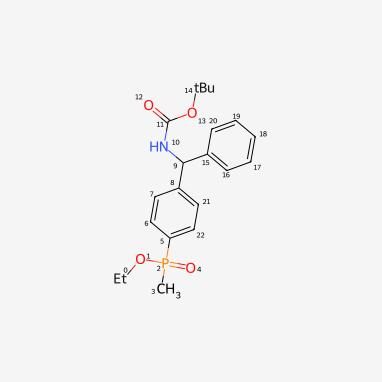 CCOP(C)(=O)c1ccc(C(NC(=O)OC(C)(C)C)c2ccccc2)cc1